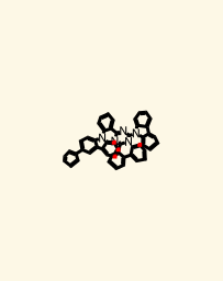 c1ccc(-c2ccc3c(c2)c2ccccc2n3-c2ccccc2-c2nc(-c3ccccc3-c3ccccc3)nc(-n3c4ccccc4c4ccccc43)n2)cc1